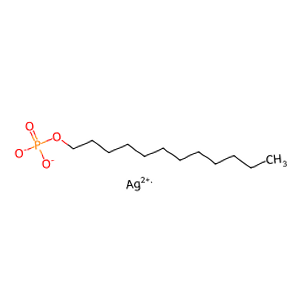 CCCCCCCCCCCCOP(=O)([O-])[O-].[Ag+2]